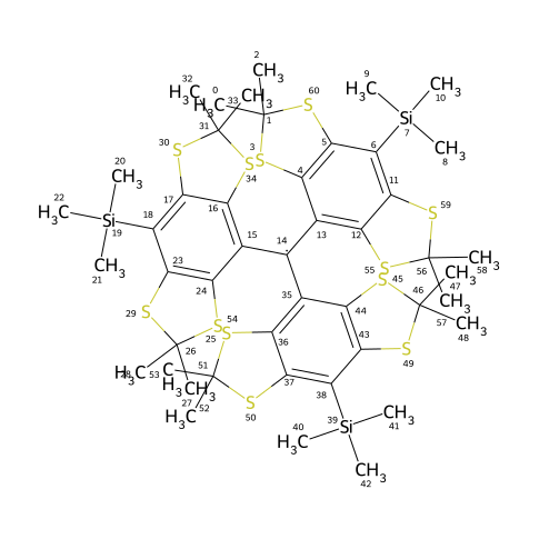 CC1(C)Sc2c(c([Si](C)(C)C)c3c(c2[C](c2c4c(c([Si](C)(C)C)c5c2SC(C)(C)S5)SC(C)(C)S4)c2c4c(c([Si](C)(C)C)c5c2SC(C)(C)S5)SC(C)(C)S4)SC(C)(C)S3)S1